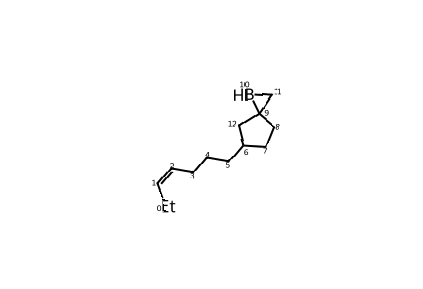 CC/C=C\CCCC1CCC2(BC2)C1